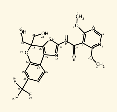 COc1ncnc(OC)c1C(=O)Nc1nc2c(s1)C(CO)(CO)Oc1cc(C(F)(F)F)ccc1-2